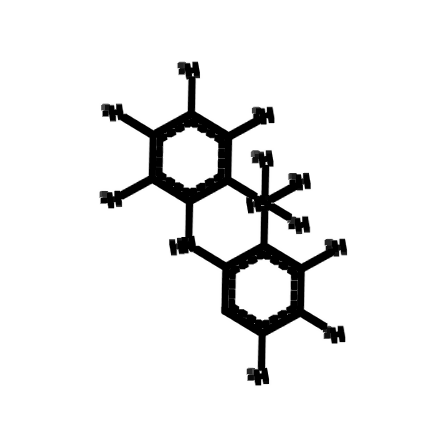 [2H]c1cc2c(c([2H])c1[2H])[SH]([2H])([2H])([2H])c1c([2H])c([2H])c([2H])c([2H])c1N2